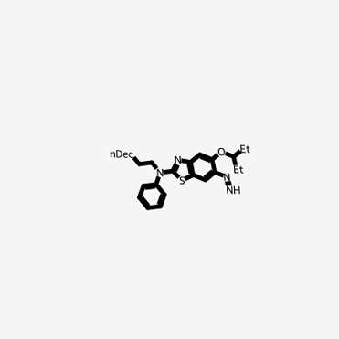 CCCCCCCCCCCCN(c1ccccc1)c1nc2cc(OC(CC)CC)c(N=N)cc2s1